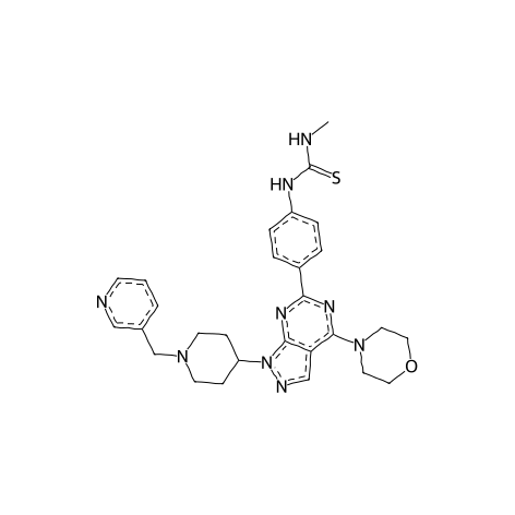 CNC(=S)Nc1ccc(-c2nc(N3CCOCC3)c3cnn(C4CCN(Cc5cccnc5)CC4)c3n2)cc1